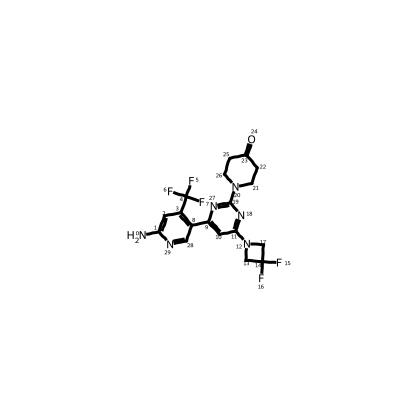 Nc1cc(C(F)(F)F)c(-c2cc(N3CC(F)(F)C3)nc(N3CCC(=O)CC3)n2)cn1